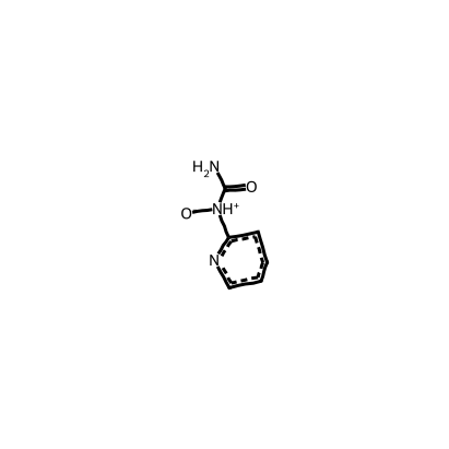 NC(=O)[NH+]([O-])c1ccccn1